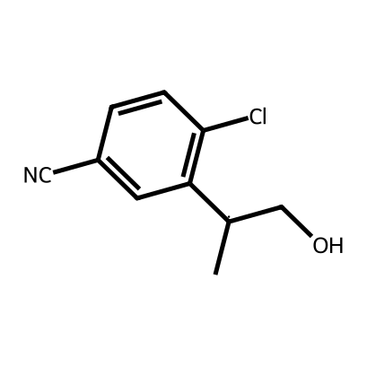 C[C](CO)c1cc(C#N)ccc1Cl